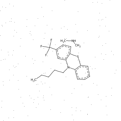 CCCCCN1c2ccccc2Sc2ccc(C(F)(F)F)cc21.CNC